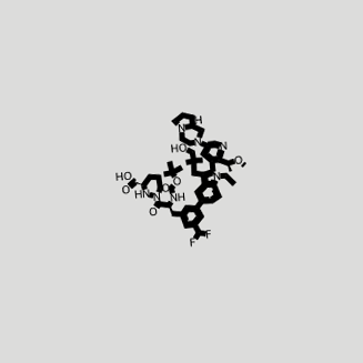 CCn1c(-c2cc(N3CCN4CCC[C@@H]4C3)cnc2[C@H](C)OC)c(CC(C)(C)CO)c2cc(-c3cc(C[C@H](NC(=O)OC(C)(C)C)C(=O)N4CCC[C@@H](C(=O)O)N4)cc(C(F)F)c3)ccc21